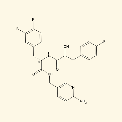 Nc1ccc(CNC(=O)[C@H](Cc2ccc(F)c(F)c2)NC(=O)C(O)Cc2ccc(F)cc2)cn1